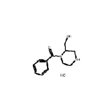 Cl.O=C(c1ccccc1)N1CCNCC1CO